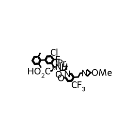 COC1CN(CCc2cn(C(CC(C)C)C(=O)N[C@@H](CC(=O)O)c3cc(-c4c(C)cccc4C)cc(Cl)c3F)c(=O)cc2C(F)(F)F)C1